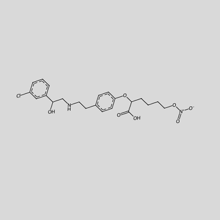 O=C(O)C(CCCCO[N+](=O)[O-])Oc1ccc(CCNCC(O)c2cccc(Cl)c2)cc1